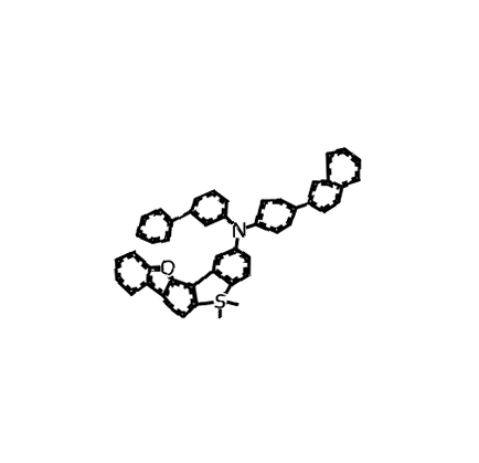 CS1(C)c2ccc(N(c3ccc(-c4ccc5ccccc5c4)cc3)c3cccc(-c4ccccc4)c3)cc2-c2c1ccc1c2oc2ccccc21